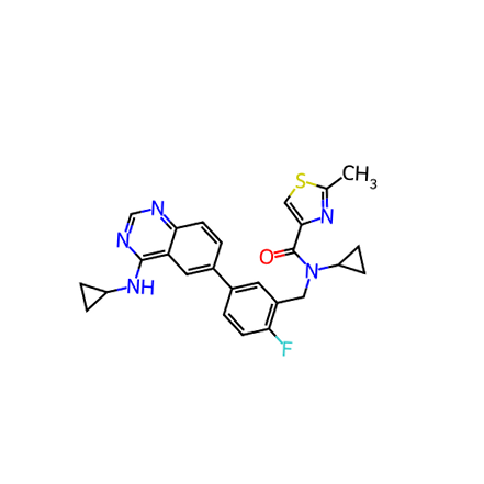 Cc1nc(C(=O)N(Cc2cc(-c3ccc4ncnc(NC5CC5)c4c3)ccc2F)C2CC2)cs1